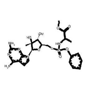 COC(=O)C(C)NP(=O)(OC[C@H]1O[C@@H](n2ccc3c(N)nc(N)nc32)[C@](C)(O)[C@@H]1O)Oc1ccccc1